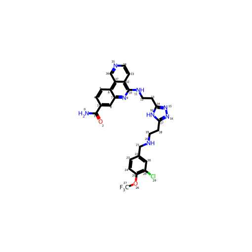 NC(=O)c1ccc2c(c1)nc(NCCc1nnc(CCNCc3ccc(OC(F)(F)F)c(Cl)c3)[nH]1)c1ccncc12